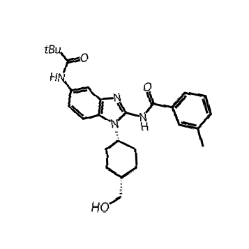 Cc1cccc(C(=O)Nc2nc3cc(NC(=O)C(C)(C)C)ccc3n2[C@H]2CC[C@@H](CO)CC2)c1